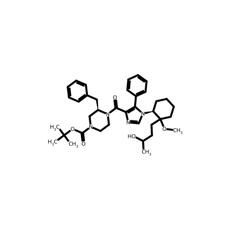 COC1(CCC(C)O)CCCC[C@@H]1n1cnc(C(=O)N2CCN(C(=O)OC(C)(C)C)C[C@H]2Cc2ccccc2)c1-c1ccccc1